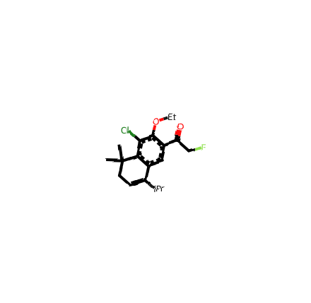 CCOc1c(C(=O)CF)cc2c(c1Cl)C(C)(C)CC=C2C(C)C